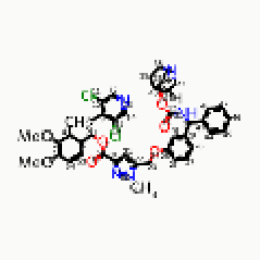 COC1=C(OC)C(C)C([C@H](Cc2c(Cl)cncc2Cl)OC(=O)c2cc(COc3cccc([C@@H](NC(=O)O[C@H]4CN5CCC4CC5)c4ccccc4)c3)n(C)n2)C=C1